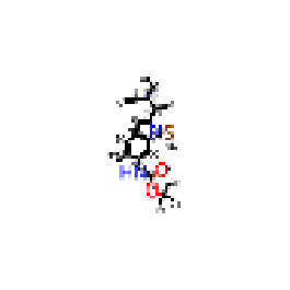 C#C/C(=C\C)C(=C)c1cc2cc(C)c(NC(=O)OC(C)(C)C)cc2n1SI